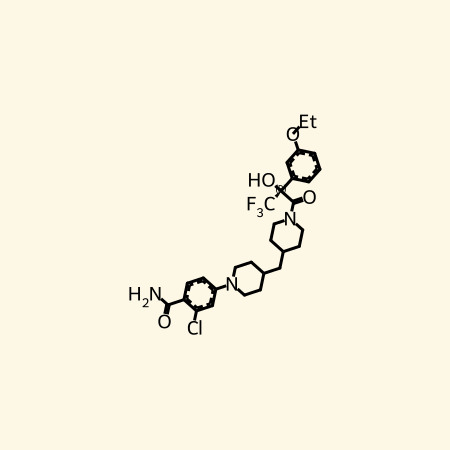 CCOc1cccc([C@@](O)(C(=O)N2CCC(CC3CCN(c4ccc(C(N)=O)c(Cl)c4)CC3)CC2)C(F)(F)F)c1